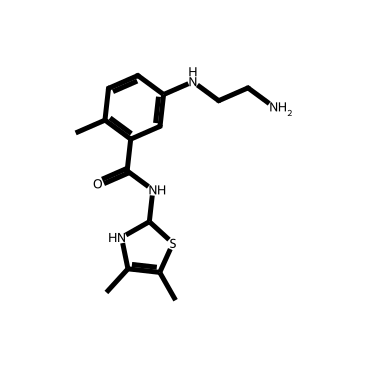 CC1=C(C)SC(NC(=O)c2cc(NCCN)ccc2C)N1